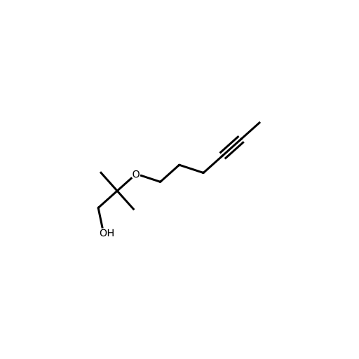 CC#CCCCOC(C)(C)CO